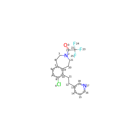 O=C(N1CCc2ccc(Cl)c(CCc3cccnc3)c2CC1)C(F)(F)F